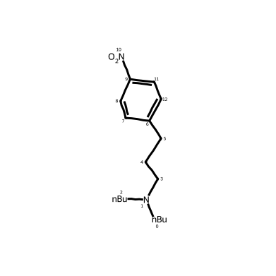 CCCCN(CCCC)CCCc1ccc([N+](=O)[O-])cc1